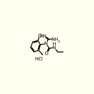 CCNC(=O)N(C(=N)N)c1c(C)cccc1Cl.Cl